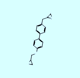 c1cc(-c2ccc(OCC3CO3)cc2)ccc1CC1CO1